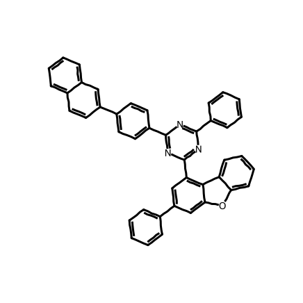 c1ccc(-c2cc(-c3nc(-c4ccccc4)nc(-c4ccc(-c5ccc6ccccc6c5)cc4)n3)c3c(c2)oc2ccccc23)cc1